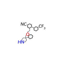 N#Cc1ccc(-c2cccc(C(F)(F)F)c2)c(CCOCC2(c3ccccc3)CCNCC2)c1